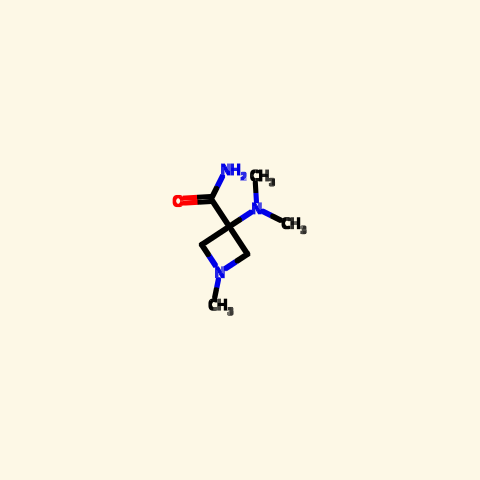 CN1CC(C(N)=O)(N(C)C)C1